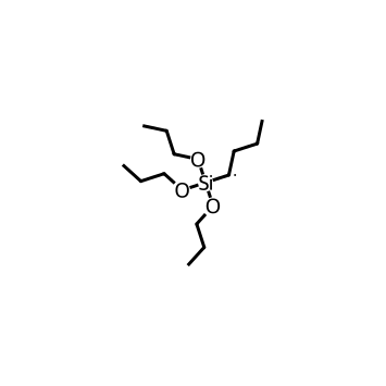 CCC[CH][Si](OCCC)(OCCC)OCCC